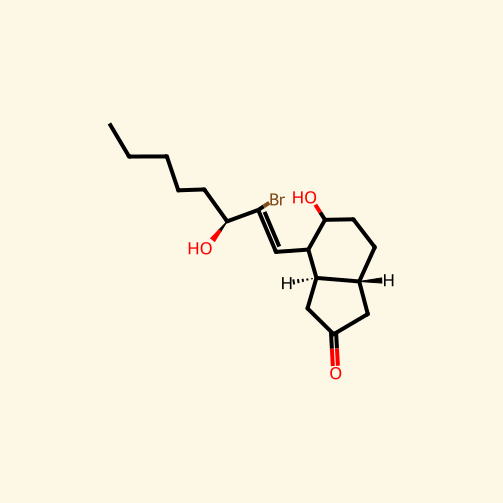 CCCCC[C@H](O)C(Br)=CC1C(O)CC[C@@H]2CC(=O)C[C@@H]12